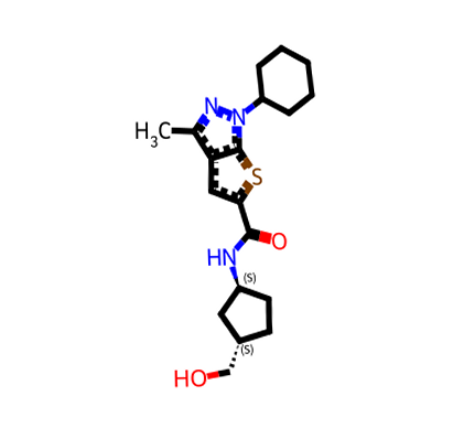 Cc1nn(C2CCCCC2)c2sc(C(=O)N[C@H]3CC[C@H](CO)C3)cc12